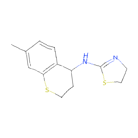 Cc1ccc2c(c1)SCCC2NC1=NCCS1